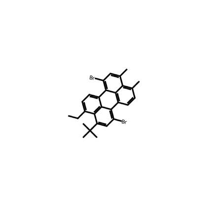 CCc1ccc2c3c(Br)cc(C)c4c(C)ccc(c5c(Br)cc(C(C)(C)C)c1c25)c43